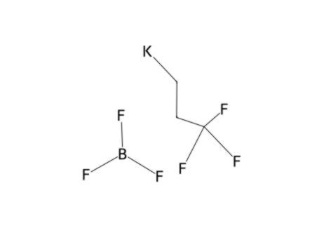 FB(F)F.FC(F)(F)C[CH2][K]